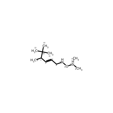 CC(C=CCNO[SiH](C)C)C(C)(C)C